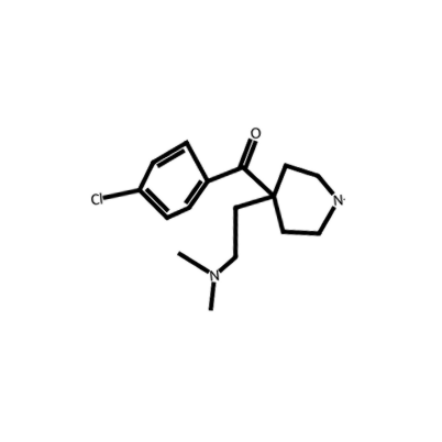 CN(C)CCC1(C(=O)c2ccc(Cl)cc2)CC[N]CC1